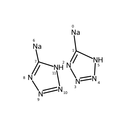 [Na][c]1nnn[nH]1.[Na][c]1nnn[nH]1